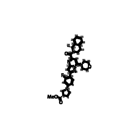 COC(=O)[C@H]1CCN(c2ccc(-c3cc4nc(C(=O)N5CCc6ccccc6[C@H]5C)cc(N5CCOCC5)n4n3)c(F)c2)C1